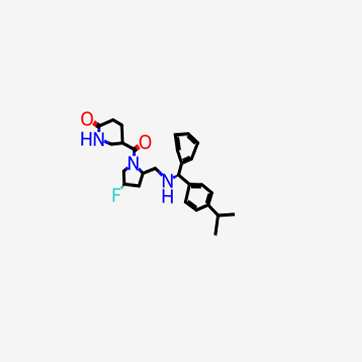 CC(C)c1ccc([C@@H](NCC2C[C@@H](F)CN2C(=O)C2CCC(=O)NC2)c2ccccc2)cc1